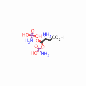 NP(=O)(O)O.N[C@H](CC(=O)O)C(=O)OP(N)(=O)O